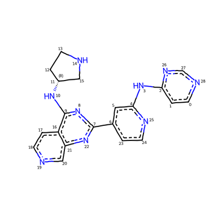 c1cc(Nc2cc(-c3nc(N[C@@H]4CCNC4)c4ccncc4n3)ccn2)ncn1